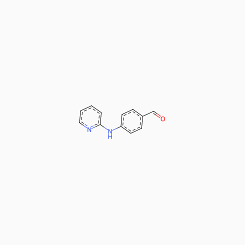 O=Cc1ccc(Nc2ccccn2)cc1